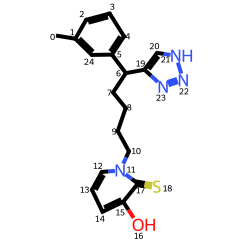 Cc1cccc(C(CCCCn2cccc(O)c2=S)c2c[nH]nn2)c1